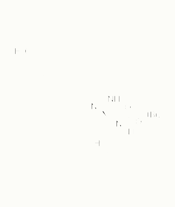 Cc1ccc2c(ccc3cc(-c4c[nH]c([C@@H]5C[C@@H]6CCCC[C@@H]6N5C(=O)OC(C)(C)C)n4)ccc32)c1